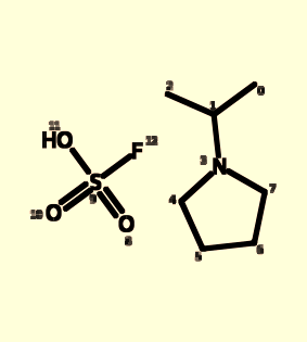 CC(C)N1CCCC1.O=S(=O)(O)F